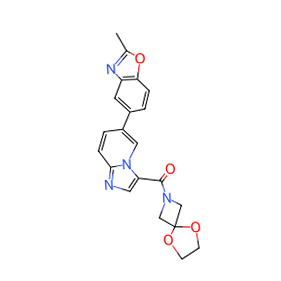 Cc1nc2cc(-c3ccc4ncc(C(=O)N5CC6(C5)OCCO6)n4c3)ccc2o1